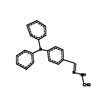 O=CN/N=C/c1ccc(N(c2ccccc2)c2ccccc2)cc1